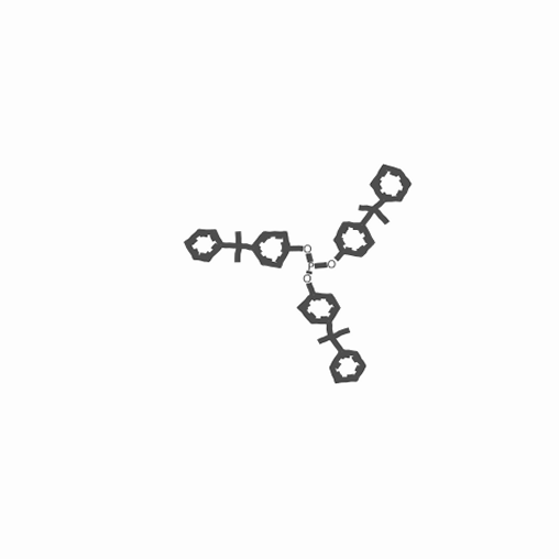 CC(C)(c1ccccc1)c1ccc(OP(Oc2ccc(C(C)(C)c3ccccc3)cc2)Oc2ccc(C(C)(C)c3ccccc3)cc2)cc1